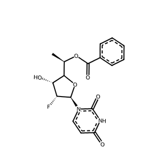 C[C@@H](OC(=O)c1ccccc1)C1O[C@@H](n2ccc(=O)[nH]c2=O)[C@H](F)[C@@H]1O